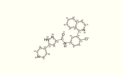 O=C(Nc1ccc(Cl)c(-c2nccc3ccccc23)c1)c1cc(-c2ccncc2)[nH]n1